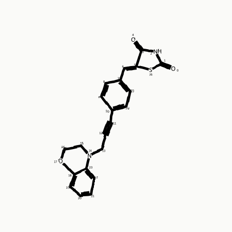 O=C1NC(=O)/C(=C/c2ccc(C#CCN3CCOc4ccccc43)cc2)S1